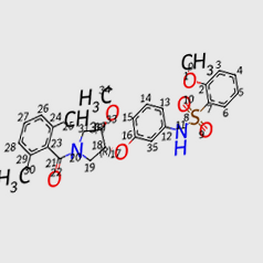 COc1ccccc1S(=O)(=O)Nc1cccc(O[C@@H]2CN(C(=O)c3c(C)cccc3C)C[C@H]2OC)c1